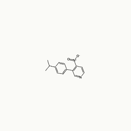 CC(C)c1ccc(-c2cnccc2[N+](=O)[O-])cc1